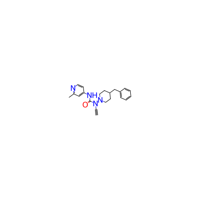 C#CN(C(=O)Nc1ccnc(C)c1)N1CCC(Cc2ccccc2)CC1